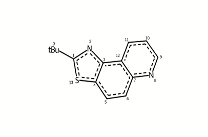 CC(C)(C)c1nc2c(ccc3ncccc32)s1